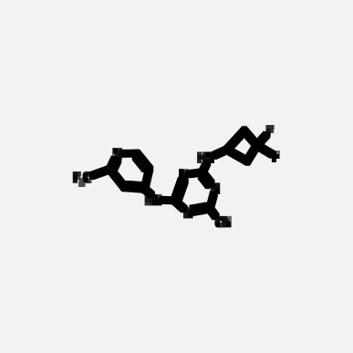 N#Cc1nc(Nc2ccnc(C(F)(F)F)c2)nc(NC2CC(F)(F)C2)n1